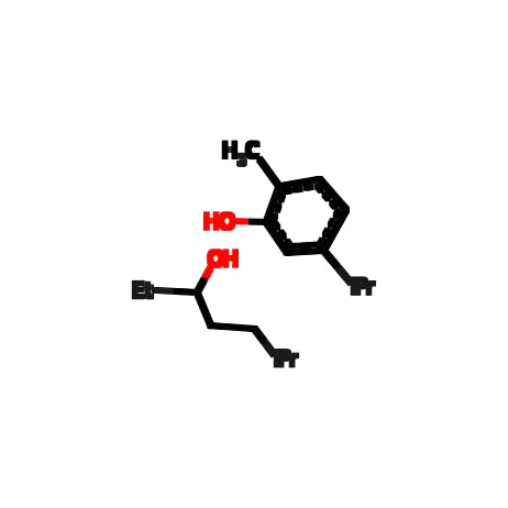 CCC(O)CCC(C)C.Cc1ccc(C(C)C)cc1O